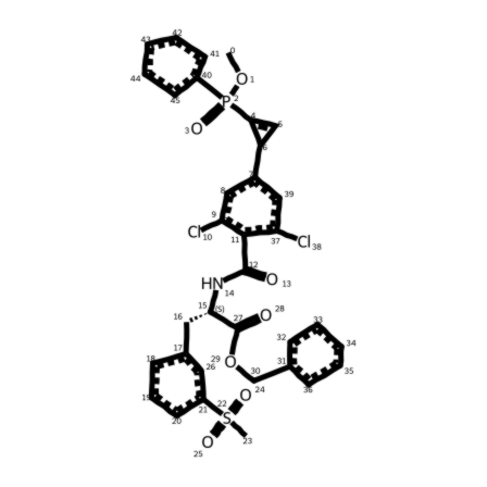 COP(=O)(C1=CC1c1cc(Cl)c(C(=O)N[C@@H](Cc2cccc(S(C)(=O)=O)c2)C(=O)OCc2ccccc2)c(Cl)c1)c1ccccc1